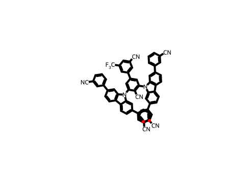 N#Cc1cccc(-c2ccc3c4ccc(-c5cccc(C#N)c5)cc4n(-c4cc(-c5cc(C#N)cc(C(F)(F)F)c5)cc(-n5c6cc(-c7cccc(C#N)c7)ccc6c6ccc(-c7cccc(C#N)c7)cc65)c4C#N)c3c2)c1